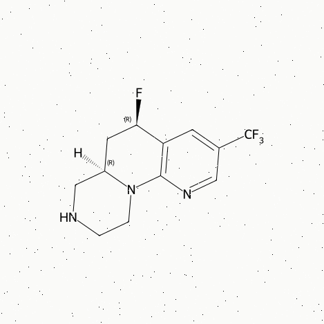 F[C@@H]1C[C@@H]2CNCCN2c2ncc(C(F)(F)F)cc21